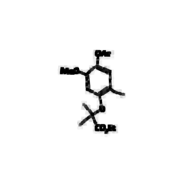 CCOC(=O)C(C)(C)Oc1cc(OC)c(OC(C)=O)cc1C